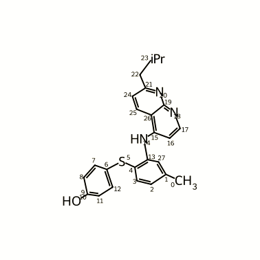 Cc1ccc(Sc2ccc(O)cc2)c(Nc2ccnc3nc(CC(C)C)ccc23)c1